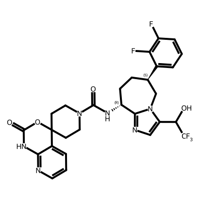 O=C1Nc2ncccc2C2(CCN(C(=O)N[C@@H]3CC[C@@H](c4cccc(F)c4F)Cn4c(C(O)C(F)(F)F)cnc43)CC2)O1